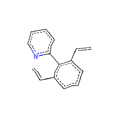 C=Cc1cccc(C=C)c1-c1ccccn1